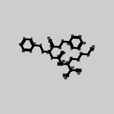 O=C(CN(CCc1ccccc1)C(=O)CCc1ccccc1)NC(CCCCBr)B(O)O